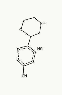 Cl.N#Cc1ccc(C2CNCCO2)cc1